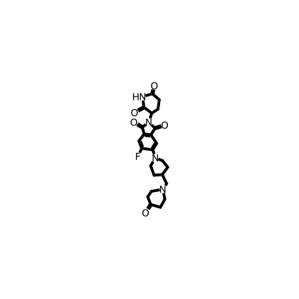 O=C1CCN(CC2CCN(c3cc4c(cc3F)C(=O)N(C3CCC(=O)NC3=O)C4=O)CC2)CC1